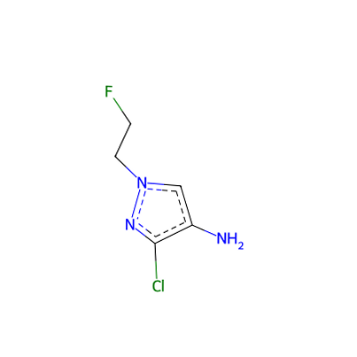 Nc1cn(CCF)nc1Cl